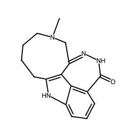 CN1CCCCc2[nH]c3cccc4c3c2C(=NNC4=O)C1